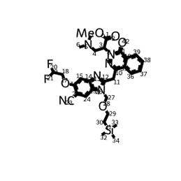 COC(=O)C(CN(C)C)n1nc(Cc2nc3cc(OCC(F)F)c(C#N)cc3n2COCC[Si](C)(C)C)c2ccccc2c1=O